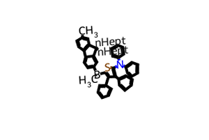 CCCCCCCC1(CCCCCCC)c2cc(C)ccc2-c2ccc(B(C)c3sc(N(c4ccccc4)c4ccccc4)c(-c4ccccc4)c3-c3ccccc3)cc21